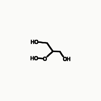 OCC(CO)OO